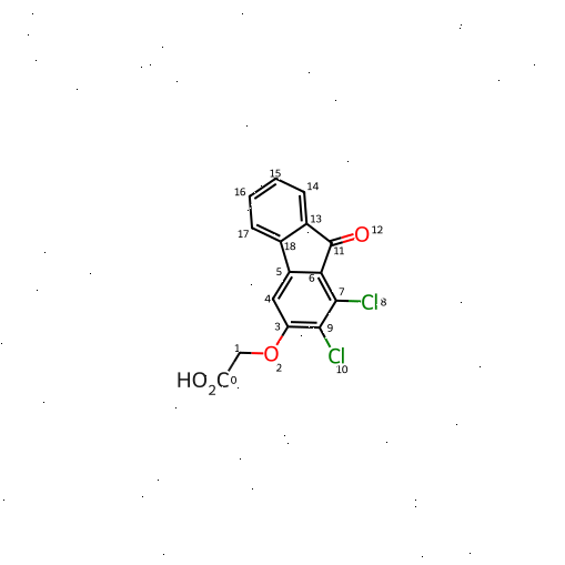 O=C(O)COc1cc2c(c(Cl)c1Cl)C(=O)c1ccccc1-2